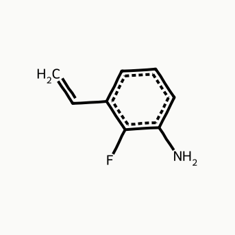 C=Cc1cccc(N)c1F